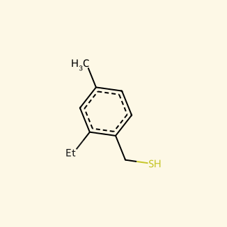 CCc1cc(C)ccc1CS